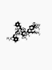 CC(C)CC(NC(=O)C(Cc1ccccc1)NC(=O)CNCC(C)c1ccccc1)C(=O)NC(CCCCN)CN1CCC(N)(C(=O)O)CC1